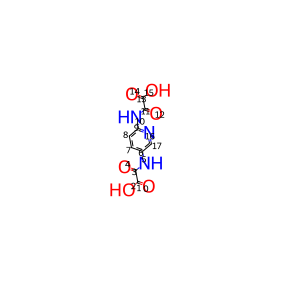 O=C(O)C(=O)Nc1ccc(NC(=O)C(=O)O)nc1